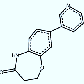 O=C1CCOc2cc(-c3cccnc3)ccc2N1